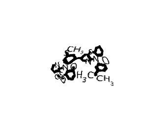 CSc1cc(-c2cnc3c(c2)Sc2cccc4c2N3c2cc(C(C)C)ccc2O4)c2c(c1)N1c3ncccc3S(=O)(=O)c3cccc(c31)O2